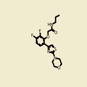 CCCNC(=O)COc1c(-c2csc(N3CCOCC3)n2)ccc(F)c1F